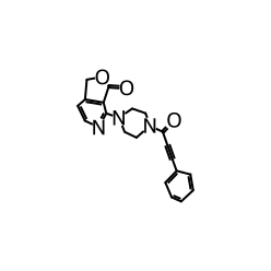 O=C1OCc2ccnc(N3CCN(C(=O)C#Cc4ccccc4)CC3)c21